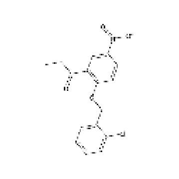 CCC(=O)c1cc([N+](=O)[O-])ccc1OCc1ccccc1Cl